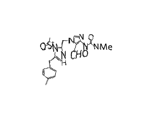 CNC(=O)N(C)c1ncn(CC2NC=C(Cc3ccc(C)cc3)N2[S+](C)[O-])c1C=O